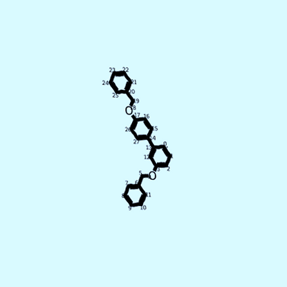 [c]1ccc(OCc2ccccc2)cc1-c1ccc(OCc2ccccc2)cc1